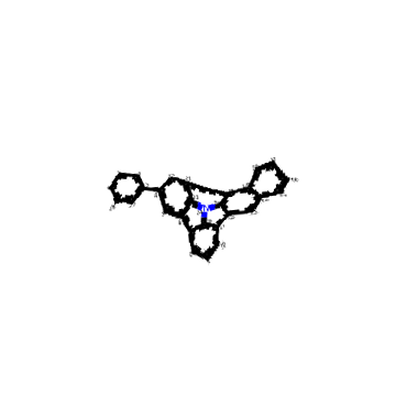 c1ccc(-c2cc3c4cccc5c6cc7ccccc7c7c(c2)c3n(c45)c67)cc1